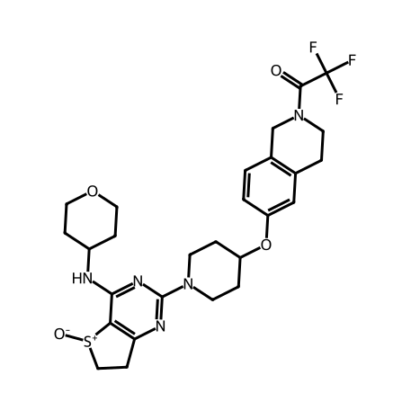 O=C(N1CCc2cc(OC3CCN(c4nc5c(c(NC6CCOCC6)n4)[S+]([O-])CC5)CC3)ccc2C1)C(F)(F)F